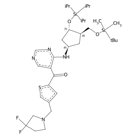 CC(C)[Si](O[C@H]1C[C@H](Nc2ncncc2C(=O)c2cc(CN3CCC(F)(F)C3)cs2)C[C@@H]1CO[Si](C)(C)C(C)(C)C)(C(C)C)C(C)C